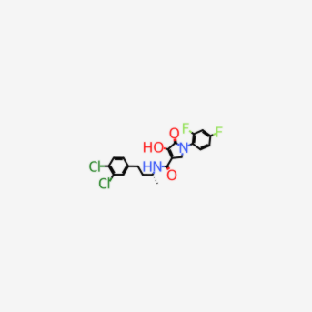 C[C@H](CCc1ccc(Cl)c(Cl)c1)NC(=O)C1=C(O)C(=O)N(c2ccc(F)cc2F)C1